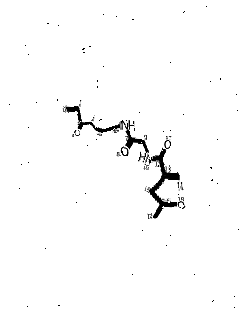 CCC(=O)CCNC(=O)CNC(=O)C(C)CC(C)=O